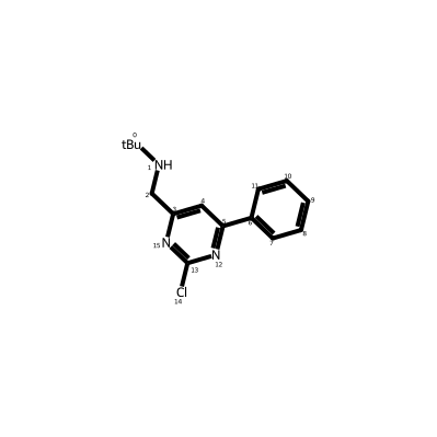 CC(C)(C)NCc1cc(-c2ccccc2)nc(Cl)n1